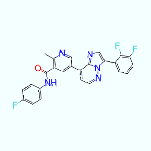 Cc1ncc(-c2ccnn3c(-c4cccc(F)c4F)cnc23)cc1C(=O)Nc1ccc(F)cc1